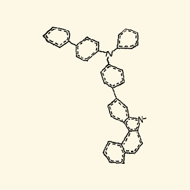 Cn1c2cc(-c3ccc(N(c4ccccc4)c4ccc(-c5ccccc5)cc4)cc3)ccc2c2c3ccccc3ccc21